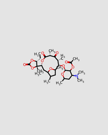 CC[C@H]1OC(=O)O[C@@]1(C)[C@@H]1OC(=O)[C@H](C)C(=O)[C@H](C)[C@@H](O[C@@H]2OC(C)CC(N(C)C)C2OC(C)=O)[C@@]2(C)CC(C)C(O2)[C@@H]1C